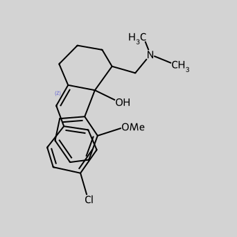 COc1ccccc1C1(O)/C(=C\c2ccc(Cl)cc2)CCCC1CN(C)C